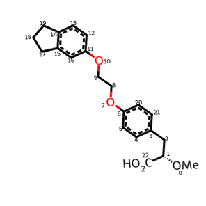 CO[C@@H](Cc1ccc(OCCOc2ccc3c(c2)CCC3)cc1)C(=O)O